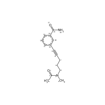 CC(=O)N(C)CCCC#Cc1cccc(C(N)=O)c1